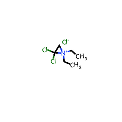 CC[N+]1(CC)CC1(Cl)Cl.[Cl-]